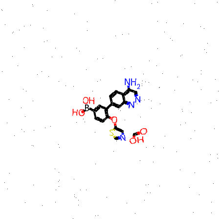 Nc1cnnc2cc(-c3cc(B(O)O)ccc3Oc3cncs3)ccc12.O=CO